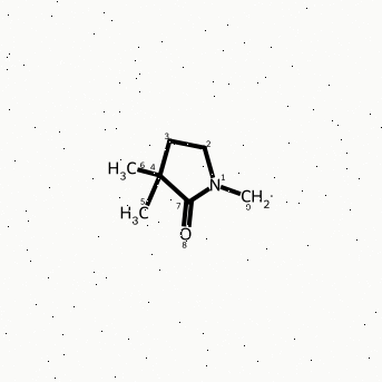 [CH2]N1CCC(C)(C)C1=O